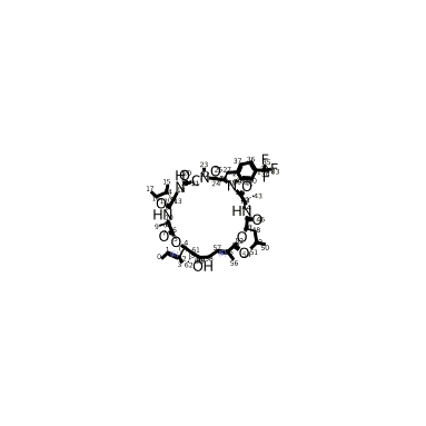 C/C=C(\C)[C@H]1OC(=O)[C@@H](C)NC(=O)[C@H](C(C)CC)NC(=O)CN(C)C(=O)[C@@H](Cc2ccc(C(F)(F)F)cc2)N(C)C(=O)[C@H](C)NC(=O)[C@@H](CC(C)C)OC(=O)/C(C)=C/C[C@H](O)[C@@H]1C